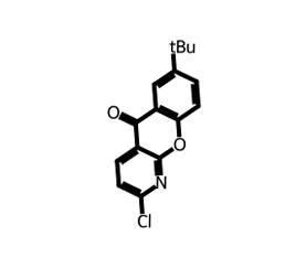 CC(C)(C)c1ccc2oc3nc(Cl)ccc3c(=O)c2c1